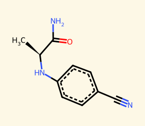 C[C@H](Nc1ccc(C#N)cc1)C(N)=O